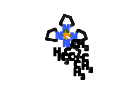 CC(C)(C)CC(C)(C)N=P(N1CCCC1)(N1CCCC1)N1CCCC1